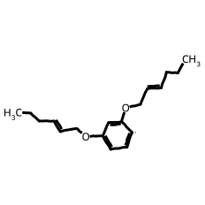 CCCC=CCOc1[c]ccc(OCC=CCCC)c1